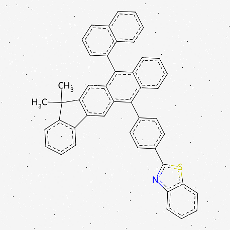 CC1(C)c2ccccc2-c2cc3c(-c4ccc(-c5nc6ccccc6s5)cc4)c4ccccc4c(-c4cccc5ccccc45)c3cc21